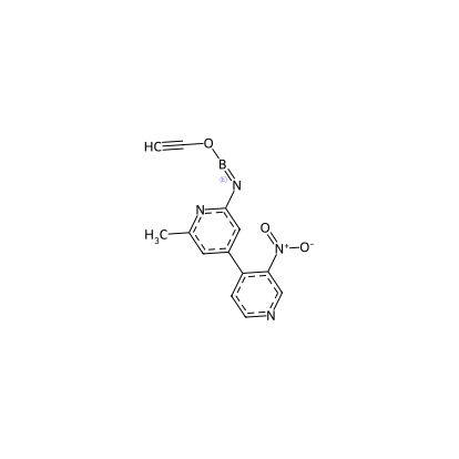 C#CO/B=N/c1cc(-c2ccncc2[N+](=O)[O-])cc(C)n1